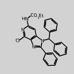 CCOC(=O)Nc1cc2c(nc(-c3ccccc3)n2C(c2ccccc2)c2ccccc2)c(Cl)n1